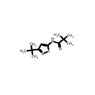 CC(C)(C)C(=O)Nc1cc(C(C)(C)C)ns1